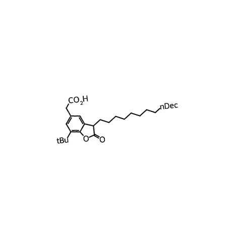 CCCCCCCCCCCCCCCCCCC1C(=O)Oc2c1cc(CC(=O)O)cc2C(C)(C)C